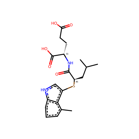 Cc1cccc2[nH]cc(S[C@H](CC(C)C)C(=O)N[C@@H](CCC(=O)O)C(=O)O)c12